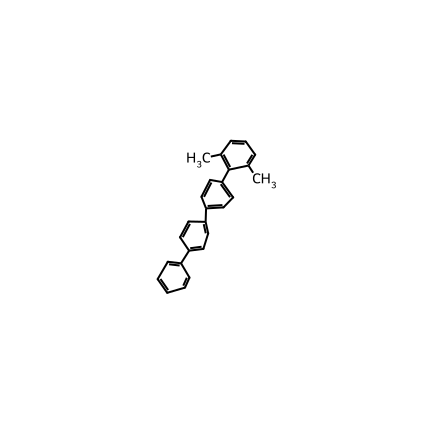 Cc1cccc(C)c1-c1ccc(-c2ccc(-c3ccccc3)cc2)cc1